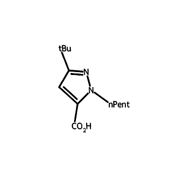 CCCCCn1nc(C(C)(C)C)cc1C(=O)O